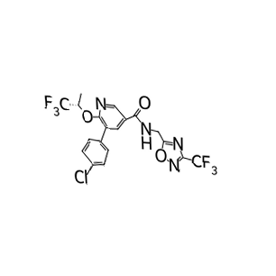 C[C@H](Oc1ncc(C(=O)NCc2nc(C(F)(F)F)no2)cc1-c1ccc(Cl)cc1)C(F)(F)F